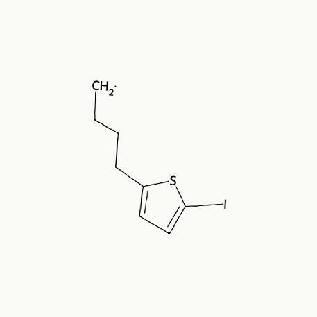 [CH2]CCCc1ccc(I)s1